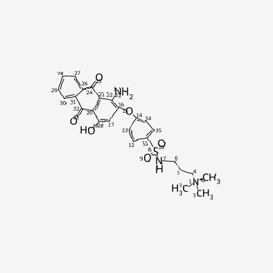 C[N+](C)(C)CCCNS(=O)(=O)c1ccc(Oc2cc(O)c3c(c2N)C(=O)c2ccccc2C3=O)cc1